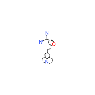 N#CC(C#N)=C1C=COC(/C=C/c2cc3c4c(c2)CCCN4CCC3)=C1